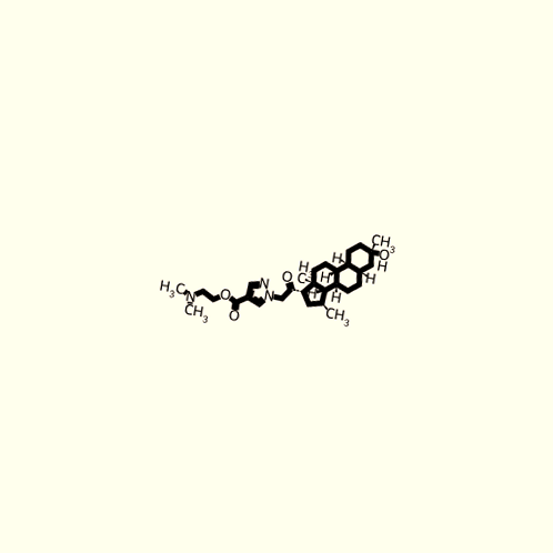 C[C@@H]1C[C@H](C(=O)Cn2cc(C(=O)OCCN(C)C)cn2)[C@@]2(C)CC[C@H]3[C@@H](CC[C@@H]4C[C@](C)(O)CC[C@@H]43)[C@H]12